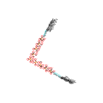 O=P([O-])([O-])[O-].O=P([O-])([O-])[O-].O=P([O-])([O-])[O-].O=P([O-])([O-])[O-].O=P([O-])([O-])[O-].O=P([O-])([O-])[O-].O=P([O-])([O-])[O-].O=P([O-])([O-])[O-].O=P([O-])([O-])[O-].[Ca+2].[Ca+2].[Ca+2].[Ca+2].[F-].[F-].[F-].[F-].[F-].[F-].[F-].[F-].[F-].[Fe+3].[Fe+3].[Fe+3].[Fe+3].[Mg+2].[Mg+2].[Mg+2].[Mg+2].[Mn+2].[Mn+2].[Mn+2].[Mn+2]